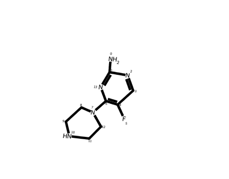 Nc1ncc(F)c(N2CCNCC2)n1